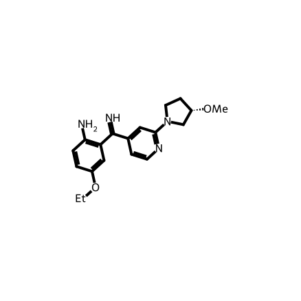 CCOc1ccc(N)c(C(=N)c2ccnc(N3CC[C@H](OC)C3)c2)c1